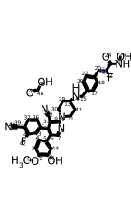 COc1ccc(-c2cnc(N3CCC(NCc4ccc(/C=C(\F)C(=O)NO)cc4)CC3)c(C#N)c2-c2ccc(C#N)c(F)c2)cc1O.O=CO